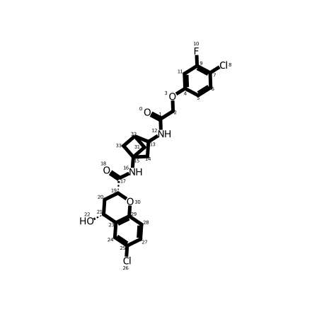 O=C(COc1ccc(Cl)c(F)c1)NC1CC2(NC(=O)[C@H]3C[C@@H](O)c4cc(Cl)ccc4O3)CC1C2